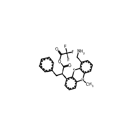 CN1c2cccc(CN)c2Sc2c(C(Cc3ccccc3)C(=O)OC(=O)C(F)(F)F)cccc21